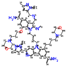 C=Nc1c(/C=N\Cc2cc(C)nn2CC)c2cc(C(=C)N)cc(OCCCN3CCOCC3)c2n1C/C=C/Cn1c2cc(-c3cc(C)nn3CC)ncc2c2cc(C(=C)N)cc(CCCCN3CCOCC3)c21